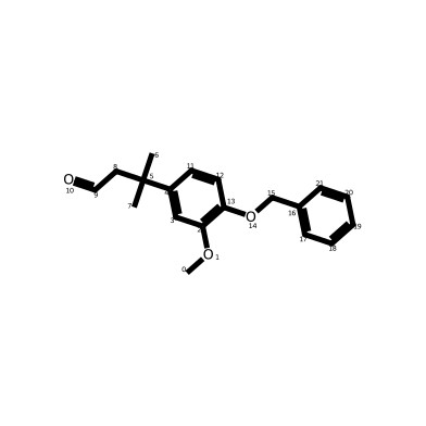 COc1cc(C(C)(C)CC=O)ccc1OCc1ccccc1